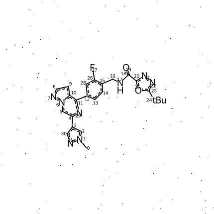 Cn1cc(-c2cn3nccc3c(-c3ccc(CNC(=O)c4nnc(C(C)(C)C)o4)c(F)c3)n2)cn1